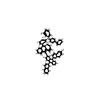 c1ccc(-c2ccc(N(c3ccccc3)c3cccc(-c4c5ccccc5c(-c5ccc6c(-c7ccc8ccccc8c7)c7ccccc7c(-c7ccc8ccccc8c7)c6c5)c5ccccc45)c3)cc2)cc1